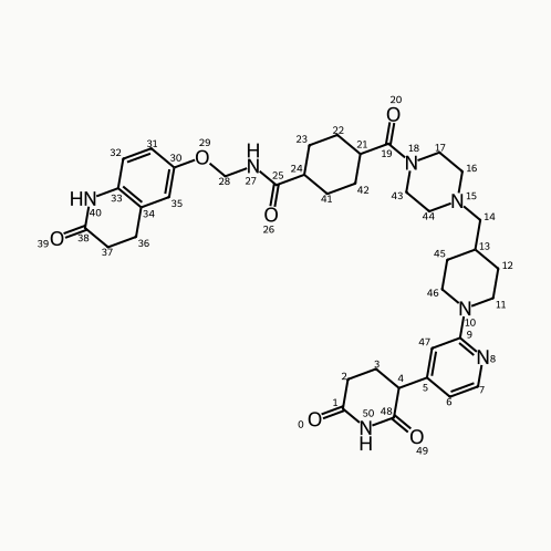 O=C1CCC(c2ccnc(N3CCC(CN4CCN(C(=O)C5CCC(C(=O)NCOc6ccc7c(c6)CCC(=O)N7)CC5)CC4)CC3)c2)C(=O)N1